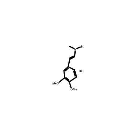 CCN(C)C=Cc1ccc(OC)c(OC)c1.Cl